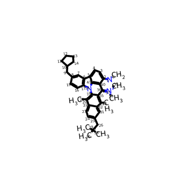 C=Nc1ccc2c3cc(CC4CCCC4)ccc3n3c4c(C)c5ccc(CC(C)(C)C)cc5c(C)c4c(=[N+](C)C)c1c23